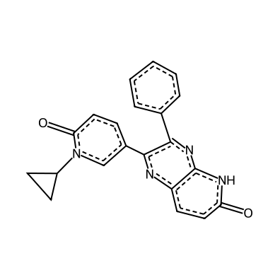 O=c1ccc2nc(-c3ccc(=O)n(C4CC4)c3)c(-c3ccccc3)nc2[nH]1